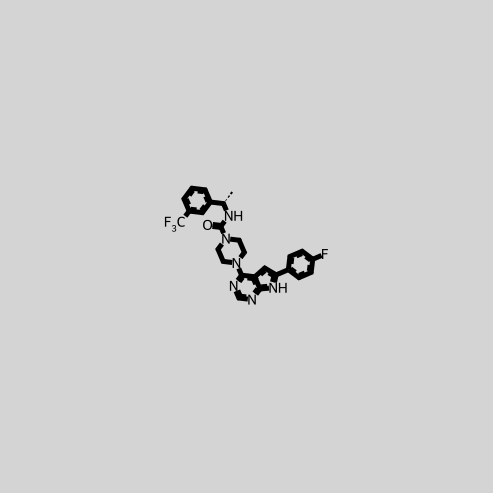 C[C@H](NC(=O)N1CCN(c2ncnc3[nH]c(-c4ccc(F)cc4)cc23)CC1)c1cccc(C(F)(F)F)c1